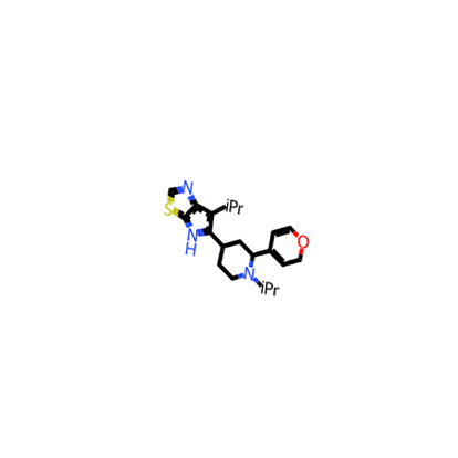 CC(C)c1c(C2CCN(C(C)C)C(C3=CCOC=C3)C2)[nH]c2scnc12